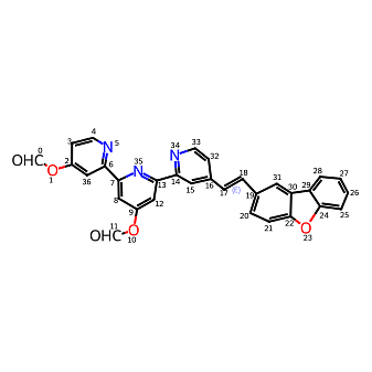 O=COc1ccnc(-c2cc(OC=O)cc(-c3cc(/C=C/c4ccc5oc6ccccc6c5c4)ccn3)n2)c1